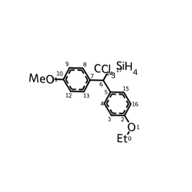 CCOc1ccc(C(c2ccc(OC)cc2)C(Cl)(Cl)Cl)cc1.[SiH4]